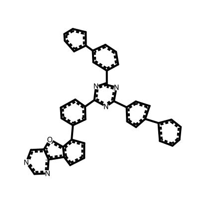 c1ccc(-c2ccc(-c3nc(-c4cccc(-c5ccccc5)c4)nc(-c4cccc(-c5cccc6c5oc5cncnc56)c4)n3)cc2)cc1